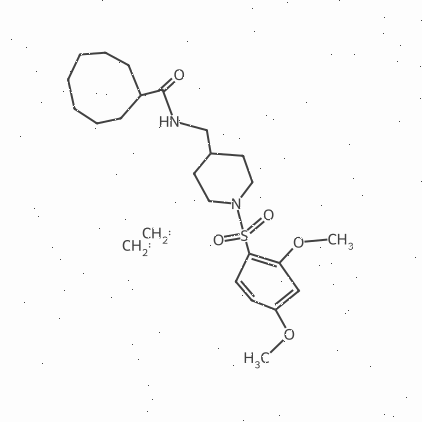 COc1ccc(S(=O)(=O)N2CCC(CNC(=O)[C]3CCCCCCC3)CC2)c(OC)c1.[CH2].[CH2]